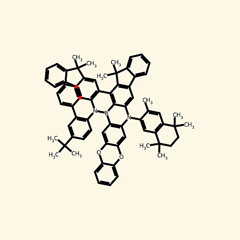 Cc1cc2c(cc1N1c3cc4c(cc3B3c5c1cc1c(c5-c5cc6c(cc5N3c3ccc(C(C)(C)C)cc3-c3ccccc3)-c3ccccc3C6(C)C)C(C)(C)c3ccccc3-1)Oc1ccccc1O4)C(C)(C)CCC2(C)C